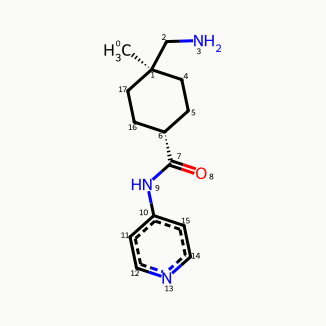 C[C@]1(CN)CC[C@H](C(=O)Nc2ccncc2)CC1